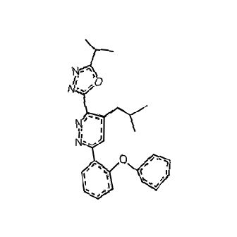 CC(C)Cc1cc(-c2ccccc2Oc2ccccc2)nnc1-c1nnc(C(C)C)o1